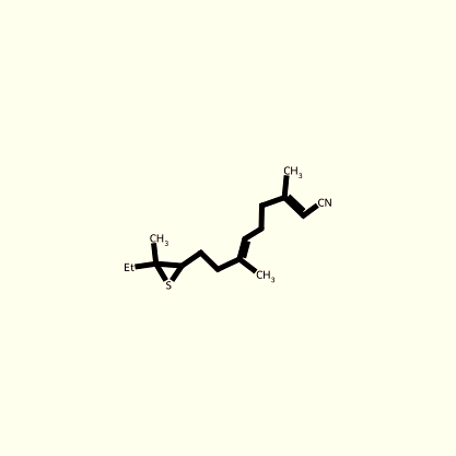 CCC1(C)SC1CCC(C)=CCCC(C)=CC#N